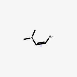 CC(=O)/C=C\N(C)C